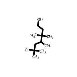 CC(C)C(C)(C)CC(O)C(C)(C)CCO